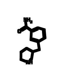 NC(=O)c1cccc(CC2CCCNC2)c1